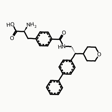 N[C@@H](Cc1ccc(C(=O)NC[C@@H](c2ccc(-c3ccccc3)cc2)C2CCOCC2)cc1)C(=O)O